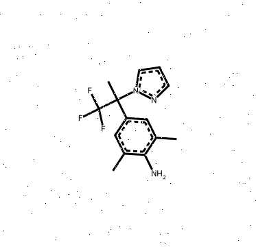 Cc1cc(C(C)(n2cccn2)C(F)(F)F)cc(C)c1N